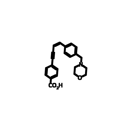 O=C(O)c1ccc(C#C/C=C\c2ccc(CN3CCOCC3)cc2)cc1